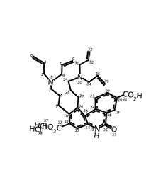 C=CCN(CC=C)CCCc1c(C(=O)O)cc2[nH]c(=O)c3cc(C(=O)O)ccc3c2c1CCCN(CC=C)CC=C.Cl.Cl